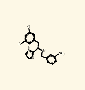 Nc1cccc(CNC(Cc2cc(Cl)cc(Cl)c2)c2ncc[nH]2)c1